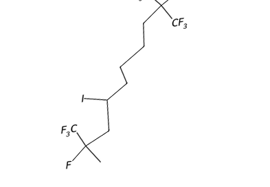 CC(F)(CC(I)CCCCC(F)(C(F)(F)F)C(F)(F)F)C(F)(F)F